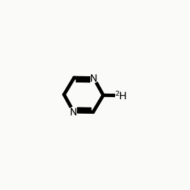 [2H]C1C=NCC=N1